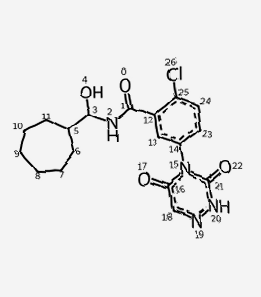 O=C(NC(O)C1CCCCCC1)c1cc(-n2c(=O)cn[nH]c2=O)ccc1Cl